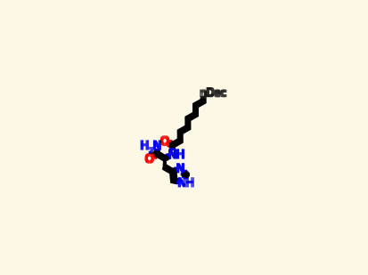 CCCCCCCCCCCCCCCCCC(=O)N[C@@H](Cc1c[nH]cn1)C(N)=O